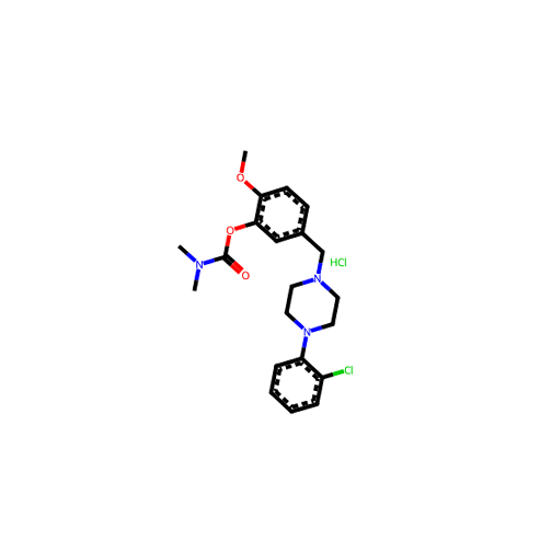 COc1ccc(CN2CCN(c3ccccc3Cl)CC2)cc1OC(=O)N(C)C.Cl